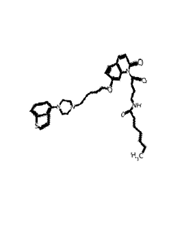 CCCCCCC(=O)NCCCC(=O)n1c(=O)ccc2ccc(OCCCCN3CCN(c4cccc5sccc45)CC3)cc21